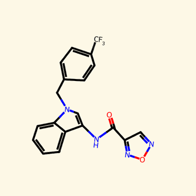 O=C(Nc1cn(Cc2ccc(C(F)(F)F)cc2)c2ccccc12)c1cnon1